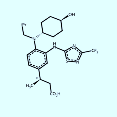 CC(C)CN(c1ccc([C@H](C)CC(=O)O)cc1Nc1nc(C(F)(F)F)ns1)[C@H]1CC[C@H](O)CC1